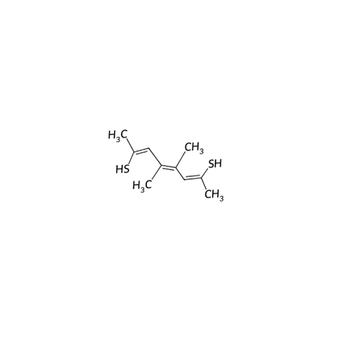 C/C(S)=C/C(C)=C(C)/C=C(/C)S